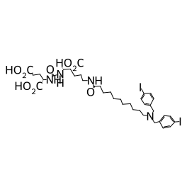 O=C(O)CC[C@H](NC(=O)N[C@@H](CCCCNC(=O)CCCCCCCCCCN(Cc1ccc(I)cc1)Cc1ccc(I)cc1)C(=O)O)C(=O)O